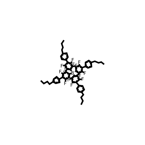 CCCCc1ccc(-c2c(F)c(F)c([B-](c3c(F)c(F)c(-c4ccc(CCCC)cc4)c(F)c3F)(c3c(F)c(F)c(-c4ccc(CCCC)cc4)c(F)c3F)c3c(F)c(F)c(-c4ccc(CCCC)cc4)c(F)c3F)c(F)c2F)cc1